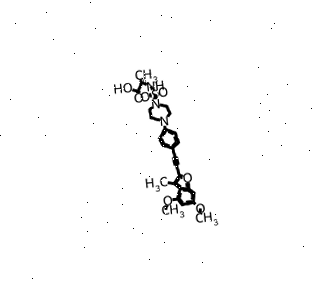 COc1cc(OC)c2c(C)c(C#Cc3ccc(N4CCN(S(=O)(=O)N[C@H](C)C(=O)O)CC4)cc3)oc2c1